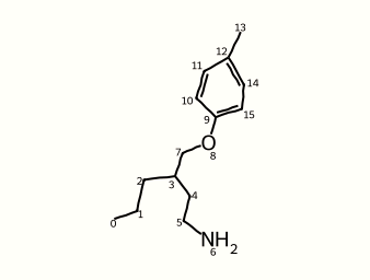 CCCC(CCN)COc1ccc(C)cc1